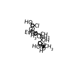 CCNC(=O)C(Cc1ccc(O)cc1Cl)c1cccc(CC(C)(C)NC[C@H](O)c2ccc(O)c(NS(C)(=O)=O)c2)c1